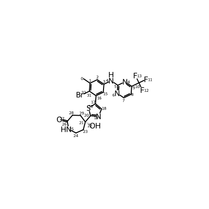 Cc1cc(Nc2nccc(C(F)(F)F)n2)cc(-c2cnc([C@@]3(O)CCNC(=O)CC3)s2)c1Br